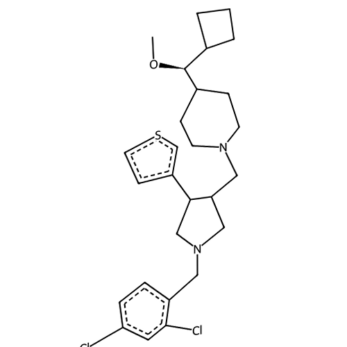 CO[C@@H](C1CCC1)C1CCN(CC2CN(Cc3ccc(Cl)cc3Cl)CC2c2ccsc2)CC1